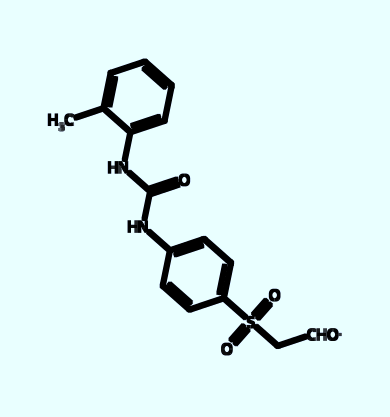 Cc1ccccc1NC(=O)Nc1ccc(S(=O)(=O)C[C]=O)cc1